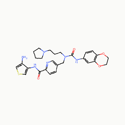 Nc1cscc1NC(=O)c1ccc(CN(CCCN2CCCC2)C(=O)Nc2ccc3c(c2)OCCO3)cn1